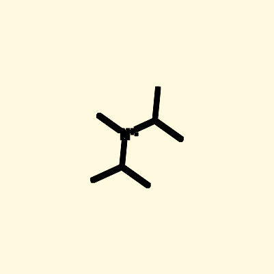 CC(C)[N+](C)C(C)C